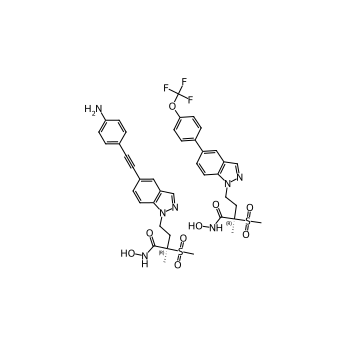 C[C@@](CCn1ncc2cc(-c3ccc(OC(F)(F)F)cc3)ccc21)(C(=O)NO)S(C)(=O)=O.C[C@@](CCn1ncc2cc(C#Cc3ccc(N)cc3)ccc21)(C(=O)NO)S(C)(=O)=O